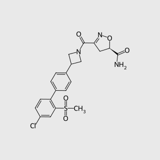 CS(=O)(=O)c1cc(Cl)ccc1-c1ccc(C2CN(C(=O)C3=NO[C@@H](C(N)=O)C3)C2)cc1